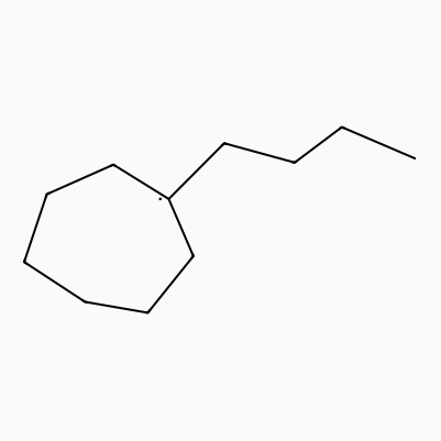 CCCC[C]1CCCCCC1